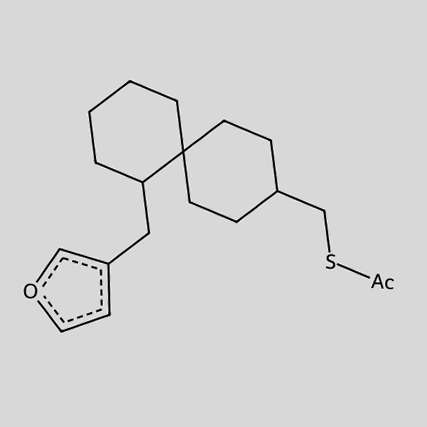 CC(=O)SCC1CCC2(CCCCC2Cc2ccoc2)CC1